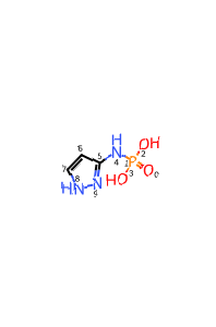 O=P(O)(O)Nc1cc[nH]n1